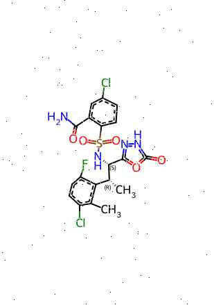 Cc1c(Cl)ccc(F)c1[C@@H](C)[C@H](NS(=O)(=O)c1ccc(Cl)cc1C(N)=O)c1n[nH]c(=O)o1